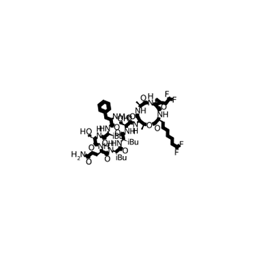 CC[C@H](C)[C@H](NC(=O)[C@@H](Cc1ccccc1)NC)C(=O)N[C@@H](CO)C(=O)N[C@H](CCC(N)=O)C(=O)N[C@@H](C(=O)N[C@H](C(=O)N[C@@H](CO)C(=O)N[C@H]1C(=O)N[C@@H](C)C(=O)N[C@@]2(CC2CC(F)F)C(=O)N[C@@H](CCCCCCC(F)F)C(=O)O[C@H]1C)[C@@H](C)CC)[C@@H](C)CC